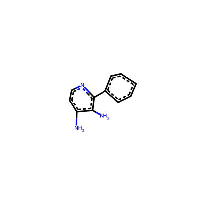 Nc1ccnc(-c2ccccc2)c1N